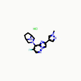 Cl.Cn1cc(-c2cn3ncc(F)c(N4CC5CCC(C4)N5)c3n2)cn1